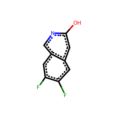 Oc1cc2cc(F)c(F)cc2cn1